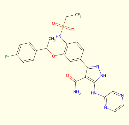 CC(Oc1cc(-c2n[nH]c(Nc3cnccn3)c2C(N)=O)ccc1NS(=O)(=O)CC(F)(F)F)c1ccc(F)cc1